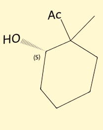 CC(=O)C1(C)CCCC[C@@H]1O